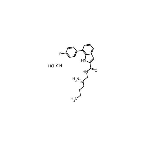 Cl.Cl.NCCC[C@H](N)CNC(=O)c1cc2cccc(-c3ccc(F)cc3)c2[nH]1